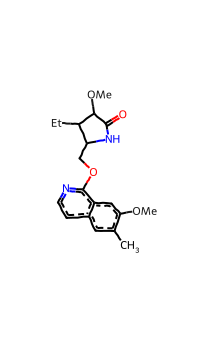 CCC1C(COc2nccc3cc(C)c(OC)cc23)NC(=O)C1OC